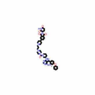 Nc1ncnc2c1c(-c1ccc(Oc3ccccc3)cc1)nn2C1CCCN(C(=O)N2CCN(CCCN3CCC(c4ccc5c(c4)C(=O)N(C4CCC(=O)NC4=O)C5=O)CC3)CC2)C1